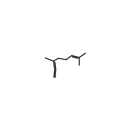 C=C=C(C)CCC=C(C)C